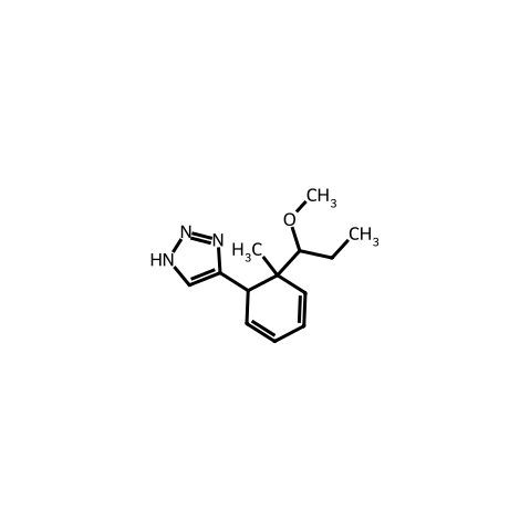 CCC(OC)C1(C)C=CC=CC1c1c[nH]nn1